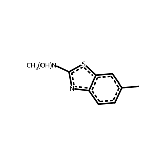 Cc1ccc2nc(N(C)O)sc2c1